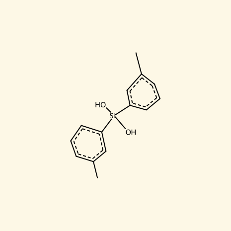 Cc1cccc([Si](O)(O)c2cccc(C)c2)c1